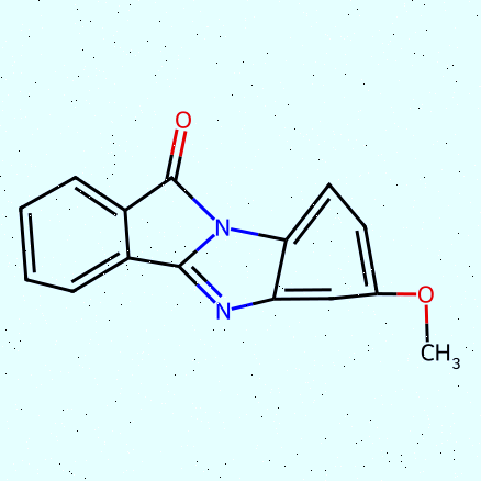 COc1ccc2c(c1)nc1n2C(=O)c2ccccc2-1